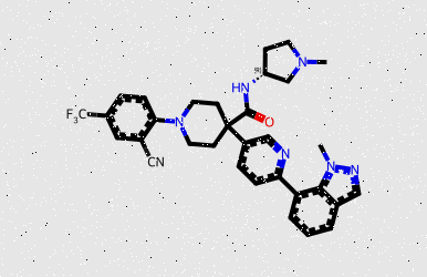 CN1CC[C@@H](NC(=O)C2(c3ccc(-c4cccc5cnn(C)c45)nc3)CCN(c3ccc(C(F)(F)F)cc3C#N)CC2)C1